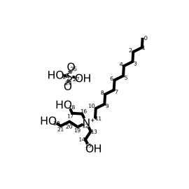 CCCCCCCCCCCC[N+](CCO)(CCO)CCCO.O=S(=O)(O)O